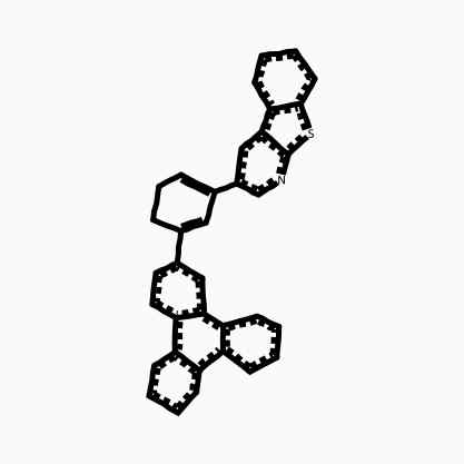 C1=C(c2cnc3sc4ccccc4c3c2)C=C(c2ccc3c4ccccc4c4ccccc4c3c2)CC1